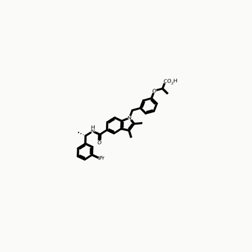 Cc1c(C)n(Cc2cccc(OC(C)C(=O)O)c2)c2ccc(C(=O)N[C@@H](C)c3cccc(C(C)C)c3)cc12